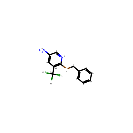 Nc1cnc(SCc2ccccc2)c(C(F)(F)F)c1